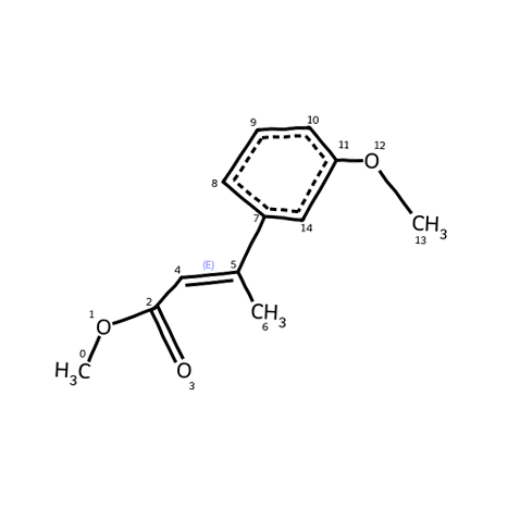 COC(=O)/C=C(\C)c1cccc(OC)c1